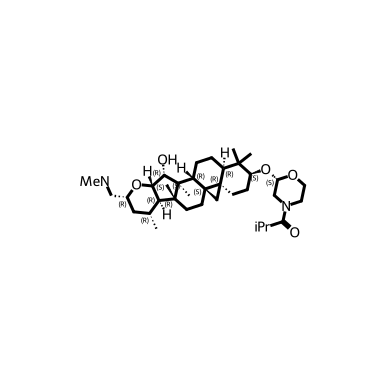 CNC[C@H]1C[C@@H](C)[C@H]2[C@H](O1)[C@H](O)[C@@]1(C)[C@@H]3CC[C@H]4C(C)(C)[C@@H](O[C@H]5CN(C(=O)C(C)C)CCO5)CC[C@@]45C[C@@]35CC[C@]21C